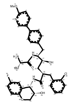 COc1ccc(-c2ccc(C[C@H](NC(=O)[C@@H](N)C(C)(C)C)[C@@H](O)C[C@@H](Cc3ccccc3Cl)C(=O)N[C@H]3c4cc(F)ccc4OC[C@H]3O)cc2)cn1